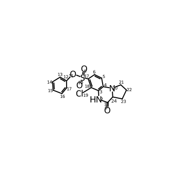 O=C1Nc2c(ccc(S(=O)(=O)Oc3ccccc3)c2Cl)N2CCCC12